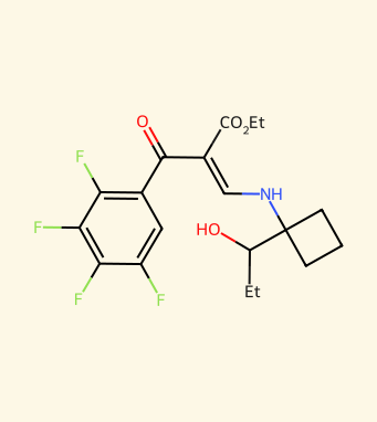 CCOC(=O)C(=CNC1(C(O)CC)CCC1)C(=O)c1cc(F)c(F)c(F)c1F